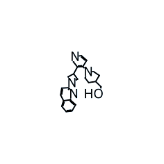 OCC1CCN(c2ccncc2C2CN(c3ccc4ccccc4n3)C2)CC1